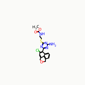 COC(=O)NCCSc1nc(N)nc(-c2c(Cl)cc3c4c(cccc24)COC3)n1